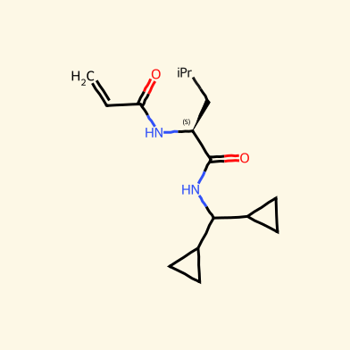 C=CC(=O)N[C@@H](CC(C)C)C(=O)NC(C1CC1)C1CC1